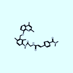 Cc1cc(C)c2cccc(OCc3c(C)ccc(N(C)C(=O)CNC(=O)C=Cc4ccc(C(=O)N(C)C)cc4)c3C)c2n1